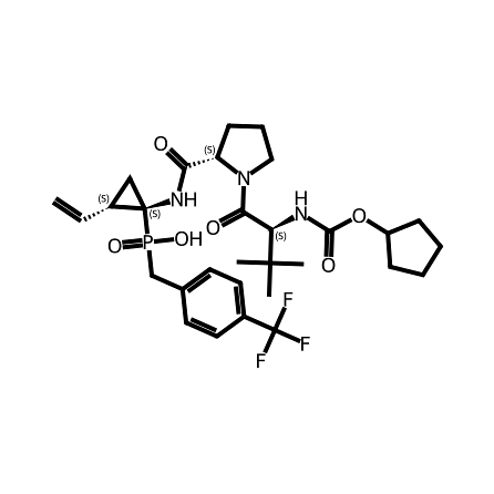 C=C[C@@H]1C[C@]1(NC(=O)[C@@H]1CCCN1C(=O)[C@@H](NC(=O)OC1CCCC1)C(C)(C)C)P(=O)(O)Cc1ccc(C(F)(F)F)cc1